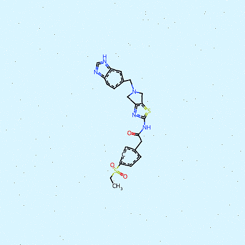 CCS(=O)(=O)c1ccc(CC(=O)Nc2nc3c(s2)CN(Cc2ccc4nc[nH]c4c2)C3)cc1